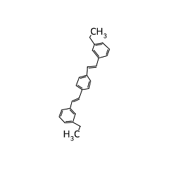 CCc1cccc(C=Cc2ccc(C=Cc3cccc(CC)c3)cc2)c1